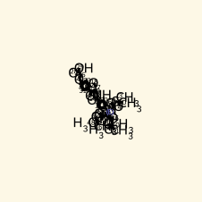 CC(C)(C)OC(=O)/N=C(\c1ccc(C(=O)N[C@@H](CO)C(=O)c2ccc(OCC(=O)O)cc2)cc1)N(C(=O)OC(C)(C)C)C(=O)OC(C)(C)C